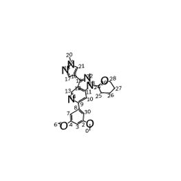 COc1cc(OC)cc(-c2cc3c(cn2)c(-c2cnn(C)c2)nn3C2CCCCO2)c1